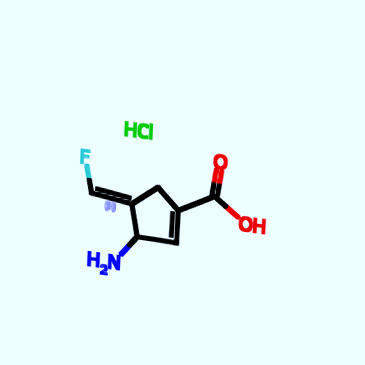 Cl.NC1C=C(C(=O)O)C/C1=C\F